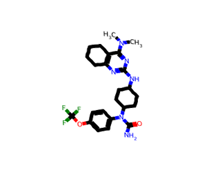 CN(C)c1nc(NC2CCC(N(C(N)=O)c3ccc(OC(F)(F)F)cc3)CC2)nc2c1CCCC2